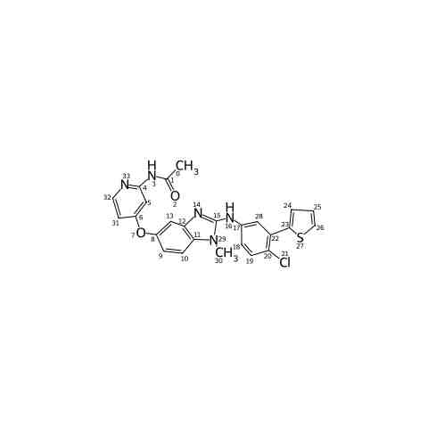 CC(=O)Nc1cc(Oc2ccc3c(c2)nc(Nc2ccc(Cl)c(-c4cccs4)c2)n3C)ccn1